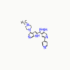 CN1CCN(c2cncc3[nH]c(-c4n[nH]c5cnc(-c6ccncc6)cc45)cc23)CC1